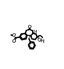 CC[C@@]1(O)CC[C@@]2(Cc3ccccc3)c3ccc(C(=O)OC)cc3CC(=O)C[C@H]2C1